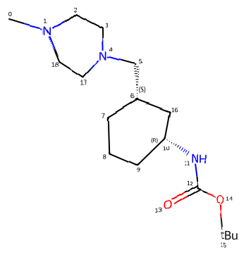 CN1CCN(C[C@H]2CCC[C@@H](NC(=O)OC(C)(C)C)C2)CC1